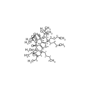 CCC[CH2][Sn]([CH2]CCC)([CH2]CCC)[c]1s[c]([Sn]([CH2]CCC)([CH2]CCC)[CH2]CCC)c(P(=O)(OC(C)C)OC(C)C)c1P(=O)(OC(C)C)OC(C)C